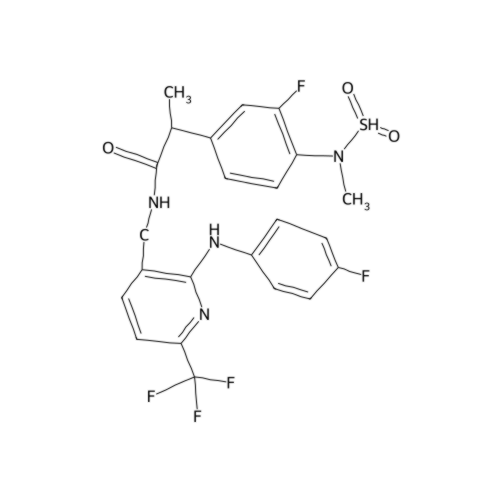 CC(C(=O)NCc1ccc(C(F)(F)F)nc1Nc1ccc(F)cc1)c1ccc(N(C)[SH](=O)=O)c(F)c1